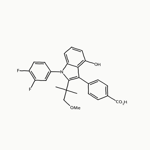 COCC(C)(C)c1c(-c2ccc(C(=O)O)cc2)c2c(O)cccc2n1-c1ccc(F)c(F)c1